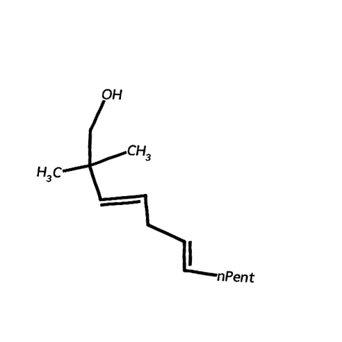 CCCCCC=CCC=CC(C)(C)CO